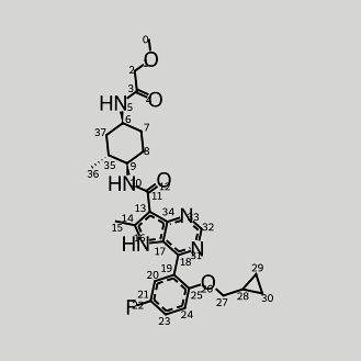 COCC(=O)N[C@H]1CC[C@@H](NC(=O)c2c(C)[nH]c3c(-c4cc(F)ccc4OCC4CC4)ncnc23)[C@H](C)C1